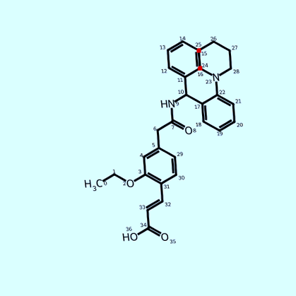 CCOc1cc(CC(=O)NC(c2ccccc2)c2ccccc2N2CCCCC2)ccc1C=CC(=O)O